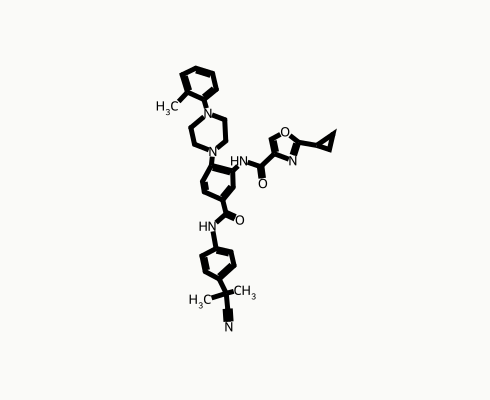 Cc1ccccc1N1CCN(c2ccc(C(=O)Nc3ccc(C(C)(C)C#N)cc3)cc2NC(=O)c2coc(C3CC3)n2)CC1